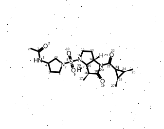 CC(=O)NC1CCN(S(=O)(=O)N2CC[C@H]3[C@H]2[C@H](C)C(=O)N3C(=O)C2[C@@H](C)[C@H]2C)C1